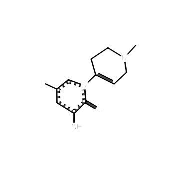 CN1CC=C(n2cc(F)cc(N)c2=O)CC1